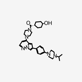 CC(C)N1CCN(c2ccc(-c3cc4c(N5CCN(C(=O)[C@H]6CC[C@H](O)CC6)CC5)ccnn4c3)cc2)CC1